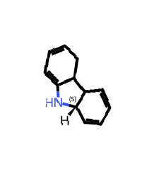 C1=CCC2C(=C1)N[C@H]1C=CC=CC21